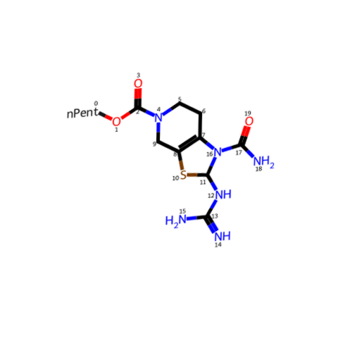 CCCCCOC(=O)N1CCC2=C(C1)SC(NC(=N)N)N2C(N)=O